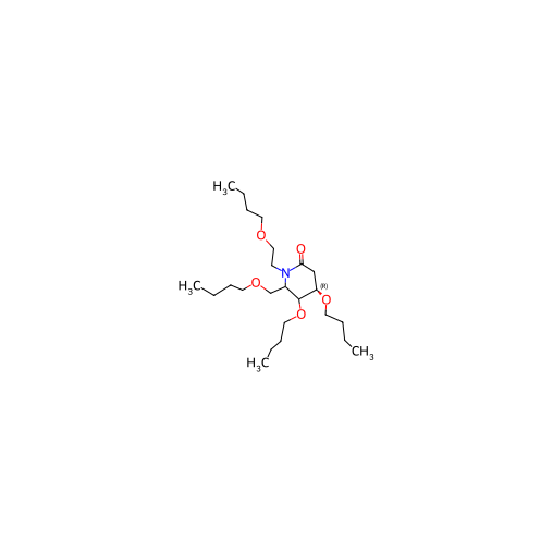 CCCCOCCN1C(=O)C[C@@H](OCCCC)C(OCCCC)C1COCCCC